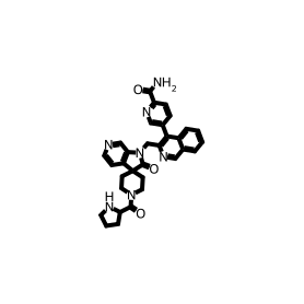 NC(=O)c1ccc(-c2c(CN3C(=O)C4(CCN(C(=O)C5CCCN5)CC4)c4ccncc43)ncc3ccccc23)cn1